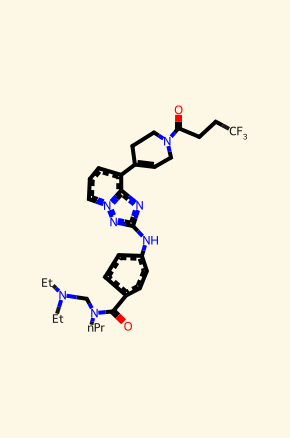 CCCN(CN(CC)CC)C(=O)c1ccc(Nc2nc3c(C4=CCN(C(=O)CCC(F)(F)F)CC4)cccn3n2)cc1